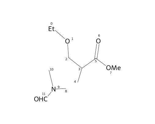 CCOCC(C)C(=O)OC.CN(C)C=O